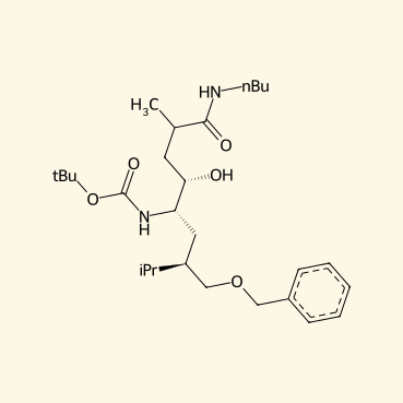 CCCCNC(=O)C(C)C[C@H](O)[C@H](C[C@@H](COCc1ccccc1)C(C)C)NC(=O)OC(C)(C)C